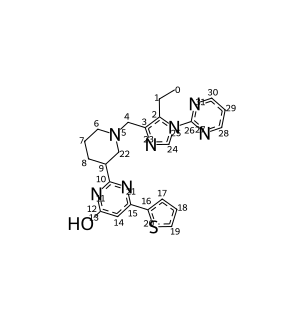 CCc1c(CN2CCCC(c3nc(O)cc(-c4cccs4)n3)C2)ncn1-c1ncccn1